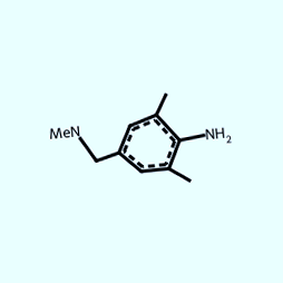 CNCc1cc(C)c(N)c(C)c1